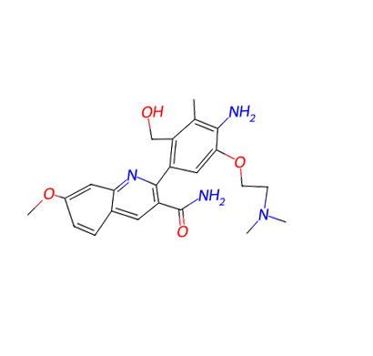 COc1ccc2cc(C(N)=O)c(-c3cc(OCCN(C)C)c(N)c(C)c3CO)nc2c1